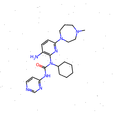 CN1CCCN(c2ccc(N)c(N(C(=O)Nc3ccncn3)C3CCCCC3)n2)CC1